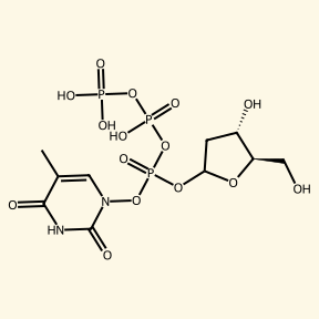 Cc1cn(OP(=O)(OC2C[C@H](O)[C@@H](CO)O2)OP(=O)(O)OP(=O)(O)O)c(=O)[nH]c1=O